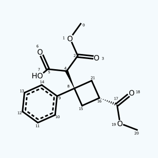 COC(=O)C(C(=O)O)[C@]1(c2ccccc2)C[C@@H](C(=O)OC)C1